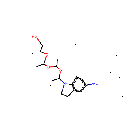 CC(OCCO)OC(C)OC(C)N1CCc2cc(N)ccc21